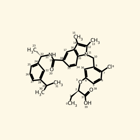 CC[C@@H](Oc1ccc(Cl)c(Cn2c(C)c(C)c3cc(C(=O)N[C@@H](C)c4cccc(C(C)C)c4)ccc32)c1)C(=O)O